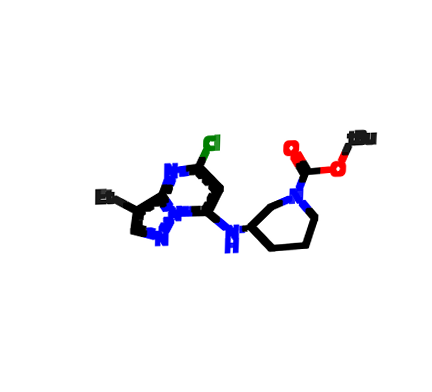 CCc1cnn2c(N[C@H]3CCCN(C(=O)OC(C)(C)C)C3)cc(Cl)nc12